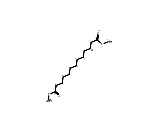 CCCOC(=O)CCCCCCCCCCCC(=O)OCCC